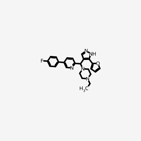 CCN1CCN(C(c2ccc(-c3ccc(F)cc3)cn2)c2cn[nH]c2-c2ccco2)CC1